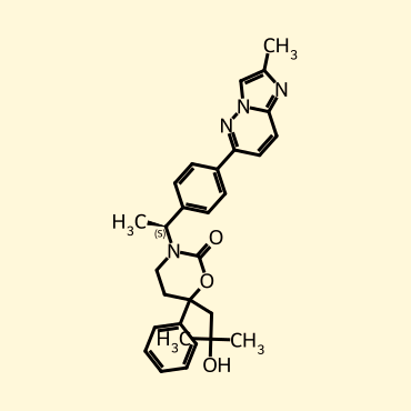 Cc1cn2nc(-c3ccc([C@H](C)N4CCC(CC(C)(C)O)(c5ccccc5)OC4=O)cc3)ccc2n1